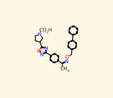 CC(=NOCc1ccc(-c2ccccc2)cc1)c1ccc(-c2noc(C3CCN(C(=O)O)C3)n2)cc1